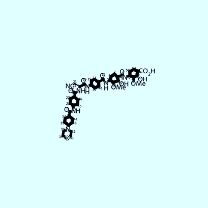 COc1c(NC(=O)c2ccc(NC(=O)c3ccc(NC(=O)[C@H](CC#N)NC(=O)c4ccc(NC(=O)c5ccc(N6CCOCC6)cc5)cc4)cc3)c(OC)c2O)ccc(C(=O)O)c1O